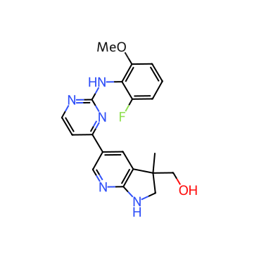 COc1cccc(F)c1Nc1nccc(-c2cnc3c(c2)C(C)(CO)CN3)n1